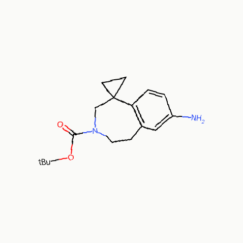 CC(C)(C)OC(=O)N1CCc2cc(N)ccc2C2(CC2)C1